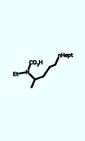 CCCCCCCCCCC(C)N(CC)C(=O)O